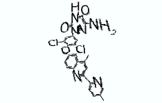 Cc1ccc(-c2cc(C)c3cc(Oc4c(Cl)cc(-n5nc(N)c(=O)[nH]c5=O)cc4Cl)ccc3n2)nc1